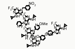 COc1ccc(-n2cnc3c(NC4CC4)nc(C(F)(F)F)nc32)c(OC)c1.COc1ccc(-n2cnc3c(NC4CC4)nc(C(F)(F)F)nc32)cn1.FC(F)(F)c1nc(NC2CC2)c2ncn(-c3cccnc3)c2n1.FC(F)(F)c1nc(NC2CC2)c2ncn(-c3ccncc3)c2n1.O=[N+]([O-])c1cccc(Cn2cnc3c(NC4CC4)nc(C(F)(F)F)nc32)c1